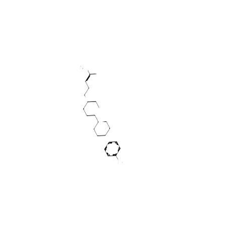 CCc1ccc([C@H]2CC[C@H]([C@H]3CC[C@H](CCC=C(F)C#N)CC3)CC2)cc1